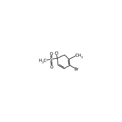 CC1=C(Br)C=CC(Cl)(S(C)(=O)=O)C1